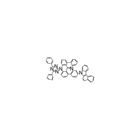 c1ccc(-c2nc(-c3ccccc3)nc(N3c4cccc(-c5ccc(-n6c7ccccc7c7c8ccccc8ccc76)cc5)c4-c4nc5ccccc5c5cccc3c45)n2)cc1